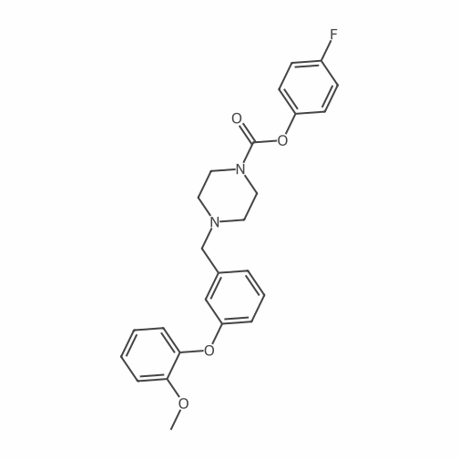 COc1ccccc1Oc1cccc(CN2CCN(C(=O)Oc3ccc(F)cc3)CC2)c1